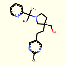 CC(C)(c1ccccn1)N1CC[C@](CO)(CCc2cnc(C(F)(F)F)nc2)C1